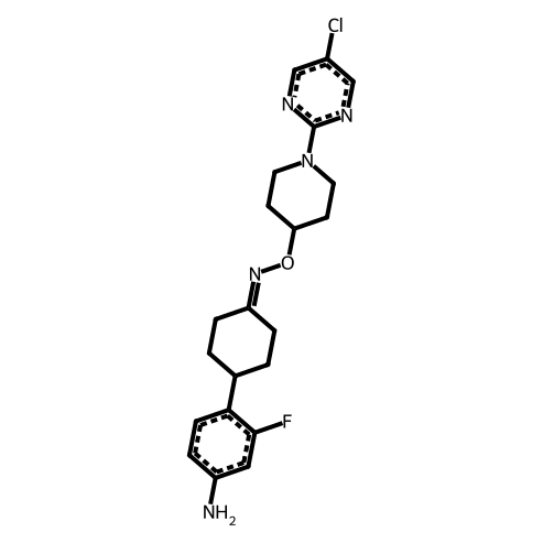 Nc1ccc(C2CCC(=NOC3CCN(c4ncc(Cl)cn4)CC3)CC2)c(F)c1